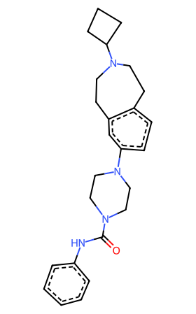 O=C(Nc1ccccc1)N1CCN(c2ccc3c(c2)CCN(C2CCC2)CC3)CC1